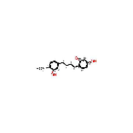 O=C(O)c1ccc(CCCCc2ccc(O)cc2O)cc1O